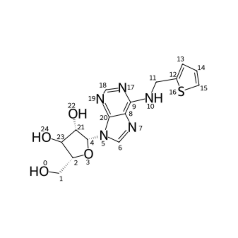 OC[C@H]1O[C@@H](n2cnc3c(NCc4cccs4)ncnc32)[C@@H](O)C1O